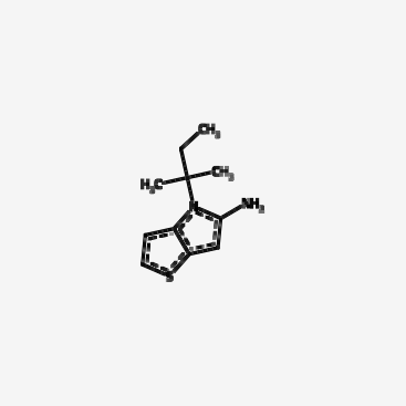 CCC(C)(C)n1c(N)cc2sccc21